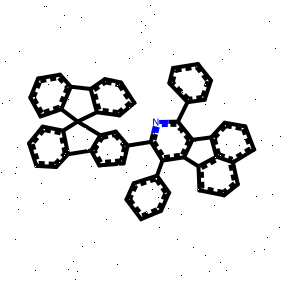 c1ccc(-c2nc(-c3ccc4c(c3)C3(c5ccccc5-c5ccccc53)c3ccccc3-4)c(-c3ccccc3)c3c2-c2cccc4cccc-3c24)cc1